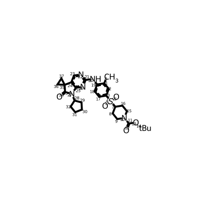 Cc1cc(S(=O)(=O)C2CCN(C(=O)OC(C)(C)C)CC2)ccc1Nc1ncc2c(n1)N(C1CCCC1)C(=O)C21CC1